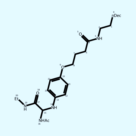 CCCCCCCCCCCCNC(=O)CCCOc1ccc(NC(NC(C)=O)C(=O)NCC)cc1